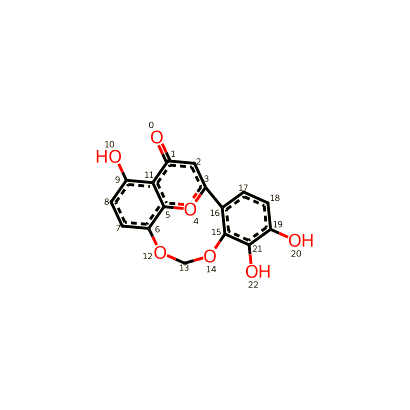 O=c1cc2oc3c(ccc(O)c13)OCOc1c-2ccc(O)c1O